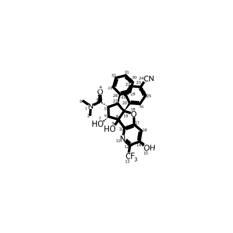 CN(C)C(=O)[C@H]1[C@@H](O)C2(O)c3nc(C(F)(F)F)c(O)cc3O[C@@]2(c2ccc(C#N)cc2)[C@@H]1c1ccccc1